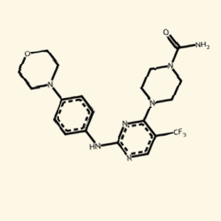 NC(=O)N1CCN(c2nc(Nc3ccc(N4CCOCC4)cc3)ncc2C(F)(F)F)CC1